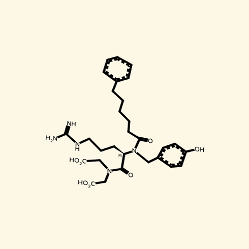 N=C(N)NCCC[C@H](C(=O)N(CC(=O)O)CC(=O)O)N(Cc1ccc(O)cc1)C(=O)CCCCCc1ccccc1